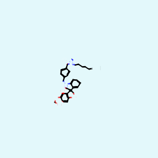 CCCCCCN(C)C(=O)c1ccc(CN2C(=O)C3(COc4cc5c(cc43)OCO5)c3ccccc32)cc1